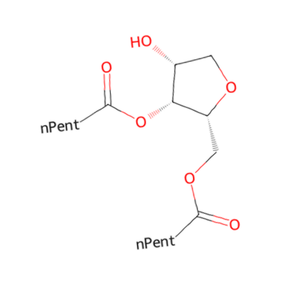 CCCCCC(=O)OC[C@H]1OC[C@@H](O)[C@H]1OC(=O)CCCCC